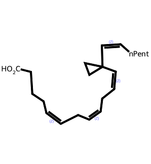 CCCCC/C=C\C1(/C=C\C/C=C\C/C=C\CCCC(=O)O)CC1